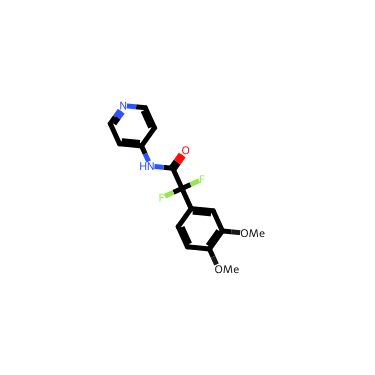 COc1ccc(C(F)(F)C(=O)Nc2ccncc2)cc1OC